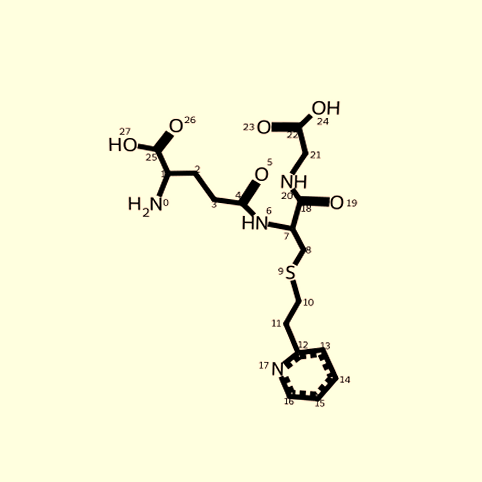 NC(CCC(=O)NC(CSCCc1ccccn1)C(=O)NCC(=O)O)C(=O)O